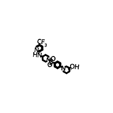 O=S(=O)(c1ccc(N2CCC[C@@H](O)C2)cc1)N1CCC(Nc2ccc(C(F)(F)F)cn2)CC1